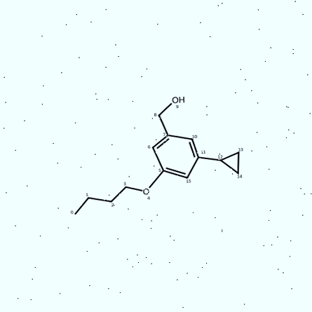 CCCCOc1cc(CO)cc(C2CC2)c1